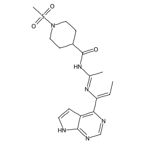 C/C=C(\N=C(/C)NC(=O)C1CCN(S(C)(=O)=O)CC1)c1ncnc2[nH]ccc12